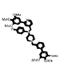 COc1cc(-c2cccc(CN3CCC(N(Cc4ccnc(-c5cc(OC)c(OC)c(OC)c5)c4)c4ccc(F)cc4)CC3)c2)cc(OC)c1OC